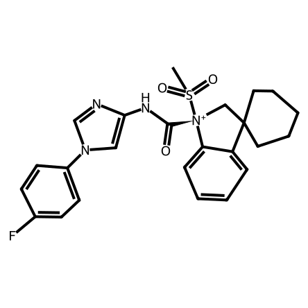 CS(=O)(=O)[N@+]1(C(=O)Nc2cn(-c3ccc(F)cc3)cn2)CC2(CCCCC2)c2ccccc21